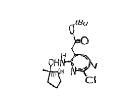 CC(C)(C)OC(=O)Cc1cnc(Cl)nc1N[C@@H]1CCC[C@]1(C)O